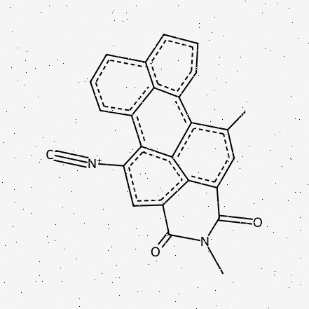 [C-]#[N+]c1cc2c3c(cc(C)c4c5cccc6cccc(c1c34)c65)C(=O)N(C)C2=O